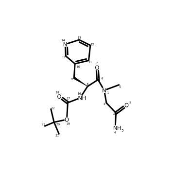 CN(CC(N)=O)C(=O)[C@H](Cc1cccnc1)NC(=O)OC(C)(C)C